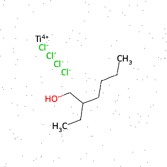 CCCCC(CC)CO.[Cl-].[Cl-].[Cl-].[Cl-].[Ti+4]